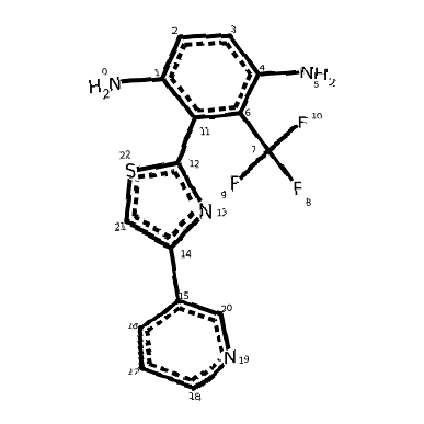 Nc1ccc(N)c(C(F)(F)F)c1-c1nc(-c2cccnc2)cs1